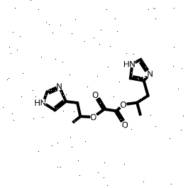 CC(Cc1c[nH]cn1)OC(=O)C(=O)OC(C)Cc1c[nH]cn1